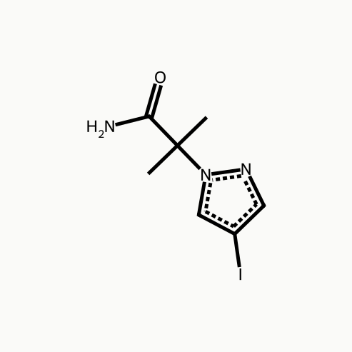 CC(C)(C(N)=O)n1cc(I)cn1